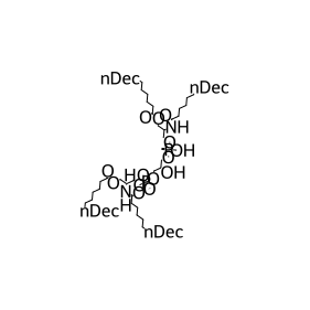 C=P(O)(OCC(O)COP(=O)(O)OCC(COC(=O)CCCCCCCCCCCCCCC)NC(=O)CCCCCCCCCCCCCCC)OCC(COC(=O)CCCCCCCCCCCCCCC)NC(=O)CCCCCCCCCCCCCCC